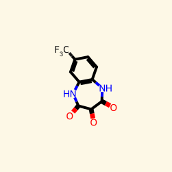 O=c1[nH]c2ccc(C(F)(F)F)cc2[nH]c(=O)c1=O